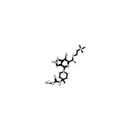 C[C@H](OCC[Si](C)(C)C)c1nc(N2CCC(C)(NC(=O)OC(C)(C)C)CC2)c2c[nH]nc2c1Br